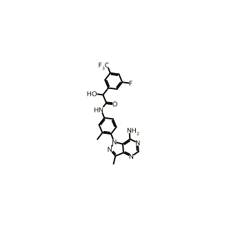 Cc1cc(NC(=O)C(O)c2cc(F)cc(C(F)(F)F)c2)ccc1-n1nc(C)c2ncnc(N)c21